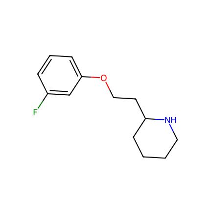 Fc1cccc(OCCC2CCCCN2)c1